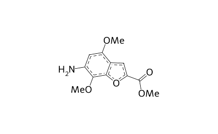 COC(=O)c1cc2c(OC)cc(N)c(OC)c2o1